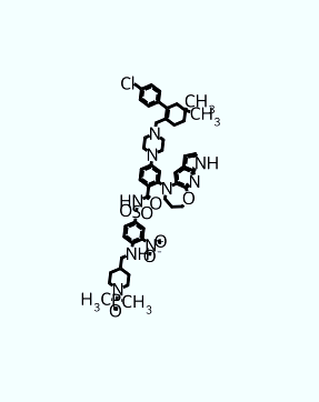 CC1(C)CCC(CN2CCN(c3ccc(C(=O)NS(=O)(=O)c4ccc(NCC5CCN(P(C)(C)=O)CC5)c([N+](=O)[O-])c4)c(N4CCCOc5nc6[nH]ccc6cc54)c3)CC2)=C(c2ccc(Cl)cc2)C1